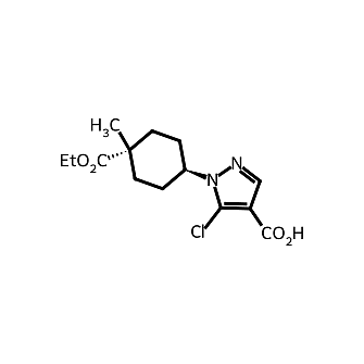 CCOC(=O)[C@]1(C)CC[C@@H](n2ncc(C(=O)O)c2Cl)CC1